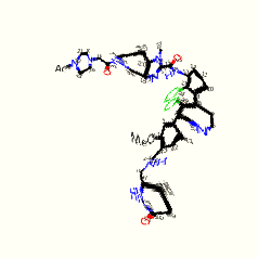 COc1cc(-c2nccc(-c3cccc(NC(=O)c4nc5c(n4C)CCN(C(=O)CN4CCN(C(C)=O)CC4)C5)c3Cl)c2Cl)ccc1CNCC1CCC(=O)N1